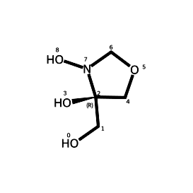 OC[C@@]1(O)COCN1O